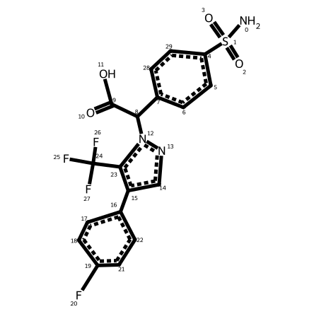 NS(=O)(=O)c1ccc(C(C(=O)O)n2ncc(-c3ccc(F)cc3)c2C(F)(F)F)cc1